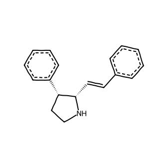 C(=C[C@@H]1NCC[C@@H]1c1ccccc1)c1ccccc1